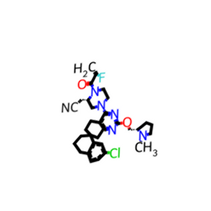 C=C(F)C(=O)N1CCN(c2nc(OC[C@@H]3CCCN3C)nc3c2CCC2(CCCc4ccc(Cl)cc42)C3)C[C@@H]1CC#N